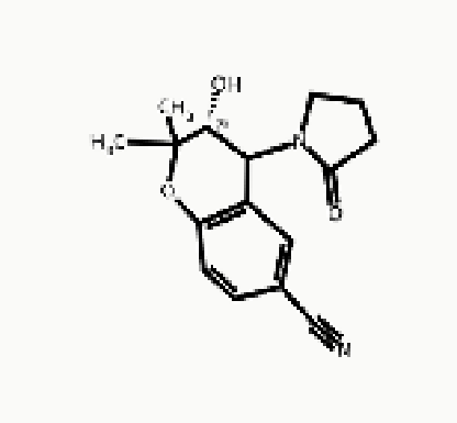 CC1(C)Oc2ccc(C#N)cc2C(N2CCCC2=O)[C@H]1O